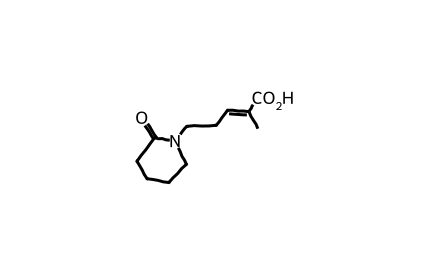 CC(=CCCN1CCCCC1=O)C(=O)O